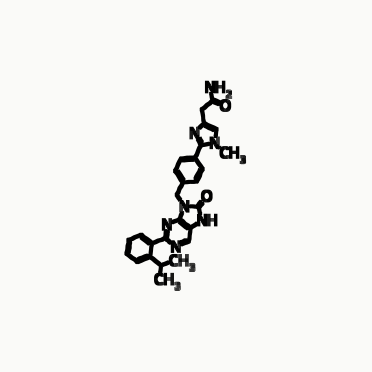 CC(C)c1ccccc1-c1ncc2[nH]c(=O)n(Cc3ccc(-c4nc(CC(N)=O)cn4C)cc3)c2n1